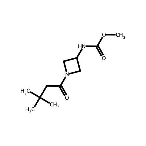 COC(=O)NC1CN(C(=O)CC(C)(C)C)C1